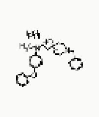 CN(CCC1(O)CCN(Cc2ccccc2)CC1)c1ccc(Oc2ccccc2)cc1.Cl.Cl